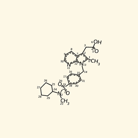 Cc1c(CC(=O)O)c2cccnc2n1Cc1ccc(S(=O)(=O)N(C)C2CCCCC2)cc1